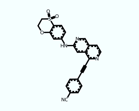 N#Cc1ccc(C#Cc2nccc3cnc(Nc4ccc5c(c4)OCCS5(=O)=O)cc23)cc1